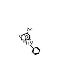 CO[C@@H]1C[C@H](OCc2ccccc2)[C@H]2COC1O2